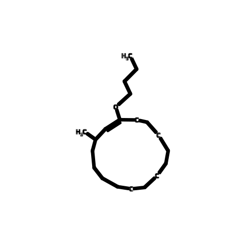 CCCCO/C1=C/C(C)CCCCCCCCCCCC1